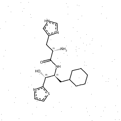 N[C@@H](Cc1c[nH]cn1)C(=O)N[C@@H](CC1CCCCC1)[C@@H](O)c1nccs1